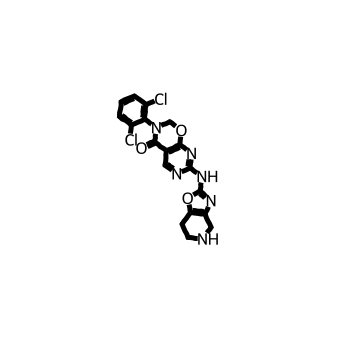 O=C1c2cnc(Nc3nc4c(o3)CCNC4)nc2OCN1c1c(Cl)cccc1Cl